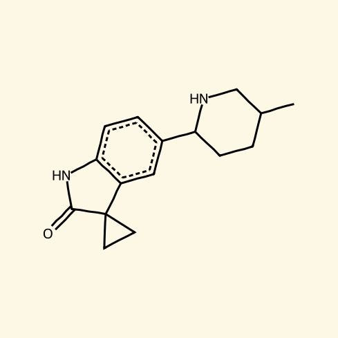 CC1CCC(c2ccc3c(c2)C2(CC2)C(=O)N3)NC1